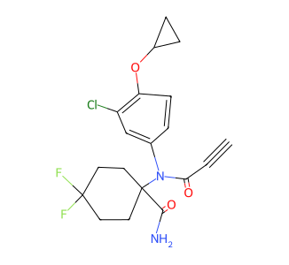 C#CC(=O)N(c1ccc(OC2CC2)c(Cl)c1)C1(C(N)=O)CCC(F)(F)CC1